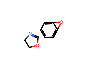 C1=NCCO1.c1ccc2c(c1)O2